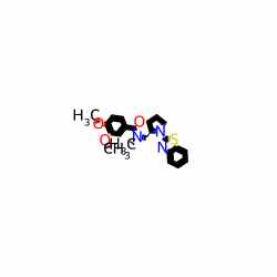 COc1ccc(C(=O)N(C)C[C@@H]2CCCN2c2nc3ccccc3s2)cc1OC